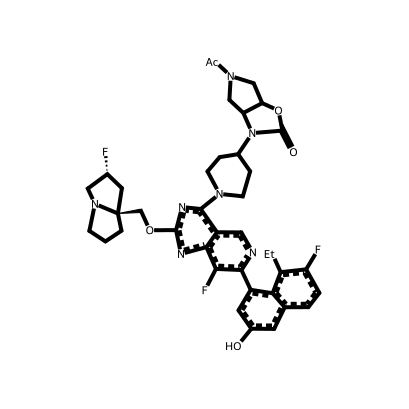 CCc1c(F)ccc2cc(O)cc(-c3ncc4c(N5CCC(N6C(=O)OC7CN(C(C)=O)CC76)CC5)nc(OC[C@@]56CCCN5C[C@H](F)C6)nc4c3F)c12